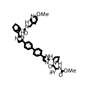 COC(=O)N[C@H](C(=O)N1CCC[C@H]1c1ncc(-c2ccc(-c3ccc(-c4cnc(C5C6CCC(C6)[C@@H]5C(=O)NCc5ccc(OC)nc5)[nH]4)cc3)cc2)[nH]1)C(C)C